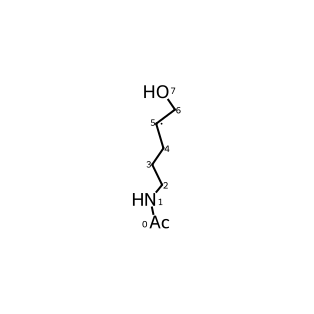 CC(=O)NCCC[CH]CO